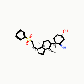 CC[C@@H]1C([C@@]2(C)CC[C@H](O)CC2=N)CC[C@@]2(C)C1CC[C@@H]2[C@H](C)CS(=O)(=O)c1ccccc1